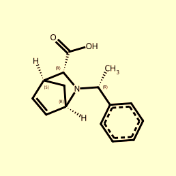 C[C@H](c1ccccc1)N1[C@H]2C=C[C@H](C2)[C@@H]1C(=O)O